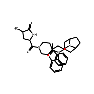 Cc1nc2ccccc2n1C1CC2CCC(C1)N2CCC1(c2ccccc2)CCN(C(=O)C2CC(O)C(=O)N2)CC1